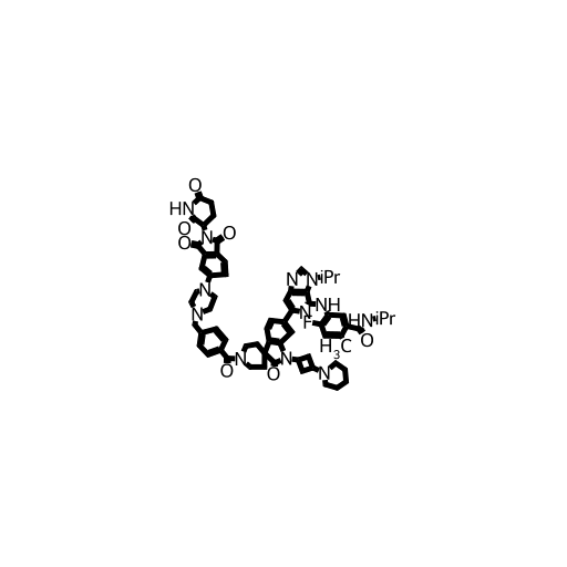 Cc1cc(F)c(Nc2nc(-c3ccc4c(c3)N(C3CC(N5CCCCC5)C3)C(=O)C43CCN(C(=O)c4ccc(CN5CCN(c6ccc7c(c6)C(=O)N(C6CCC(=O)NC6=O)C7=O)CC5)cc4)CC3)cc3ncn(C(C)C)c23)cc1C(=O)NC(C)C